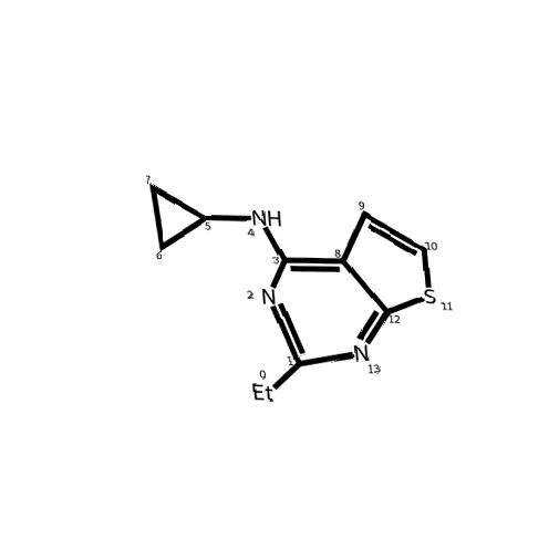 CCc1nc(NC2CC2)c2ccsc2n1